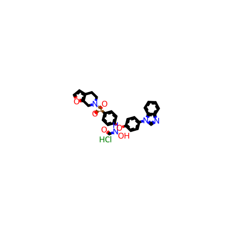 Cl.O=CNO.O=S(=O)(c1ccc(Oc2ccc(-n3cnc4ccccc43)cc2)cc1)N1CCc2ccoc2C1